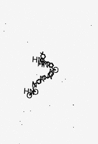 CN(CCC(=O)NC=O)c1ccc(N2CCC(CN3CCN(C(=O)c4ccc5cc(-c6n[nH]c7c6CCC(C)(C)C7)[nH]c5c4)CC3)C2)cc1